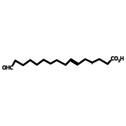 O=CCCCCCCCCC=CC[CH]CCC(=O)O